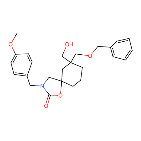 COc1ccc(CN2CC3(CCCC(CO)(COCc4ccccc4)C3)OC2=O)cc1